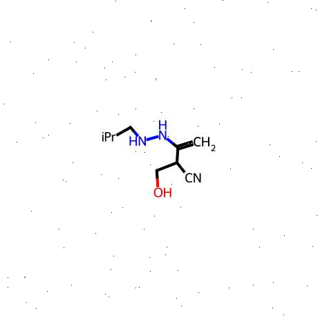 C=C(NNCC(C)C)C(C#N)CO